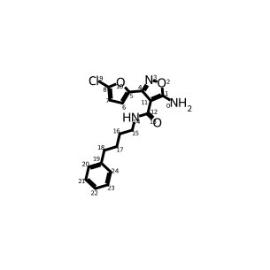 Nc1onc(-c2ccc(Cl)o2)c1C(=O)NCCCCc1ccccc1